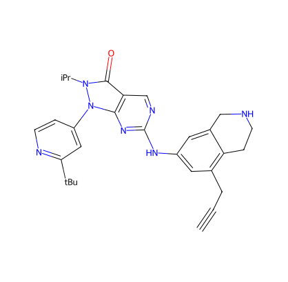 C#CCc1cc(Nc2ncc3c(=O)n(C(C)C)n(-c4ccnc(C(C)(C)C)c4)c3n2)cc2c1CCNC2